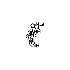 Cc1c(C2CC2)nc2c(c1NC(=O)N=S(N)(=O)c1cc3n(n1)CCNC3)CCC2